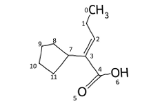 CC/C=C(/C(=O)O)C1CCCC1